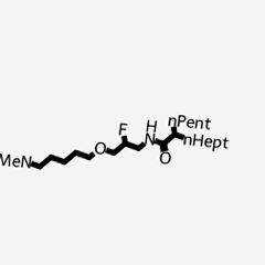 CCCCCCCC(CCCCC)C(=O)NCC(F)COCCCCCNC